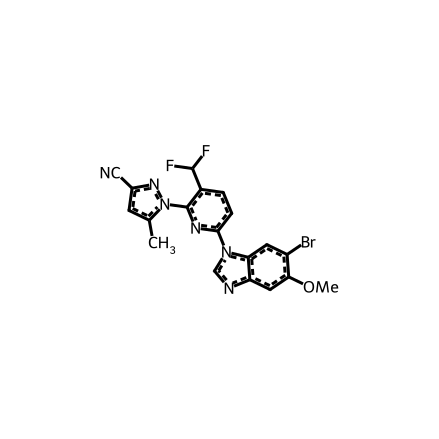 COc1cc2ncn(-c3ccc(C(F)F)c(-n4nc(C#N)cc4C)n3)c2cc1Br